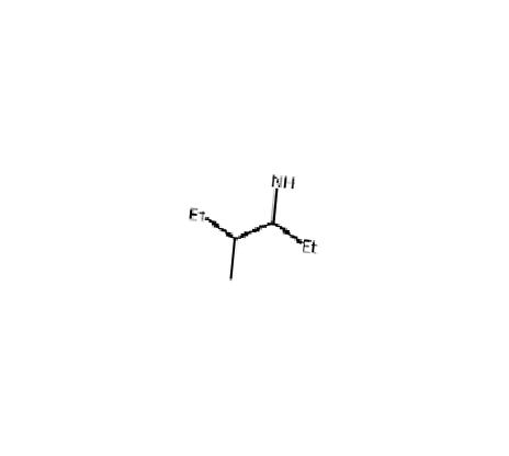 CCC(C)C([NH])CC